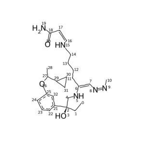 CC[C@@](O)(CN/C(=C\N=N/C)CCCCN/C=C\C(N)=O)c1cccc(OC(C)C2CC2)c1